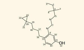 CCC(C)(C)CCCCc1cc(O)ccc1CCCCC1(C)CC1